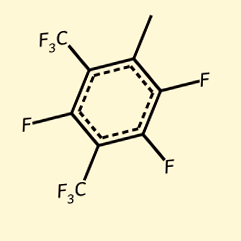 Cc1c(F)c(F)c(C(F)(F)F)c(F)c1C(F)(F)F